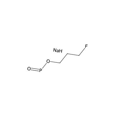 O=POCCCF.[NaH]